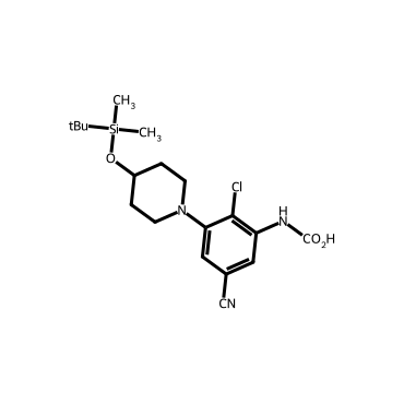 CC(C)(C)[Si](C)(C)OC1CCN(c2cc(C#N)cc(NC(=O)O)c2Cl)CC1